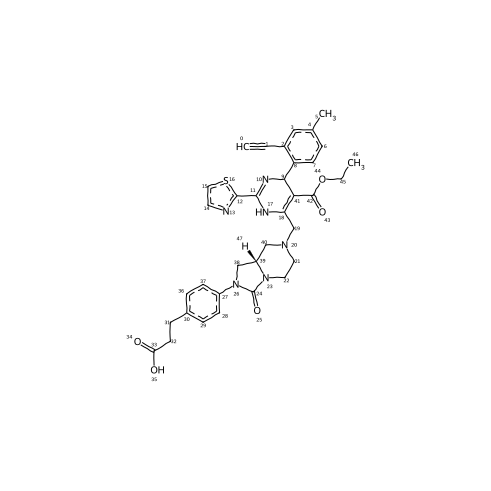 C#Cc1cc(C)ccc1C1N=C(c2nccs2)NC(CN2CCN3C(=O)N(c4ccc(CCC(=O)O)cc4)C[C@@H]3C2)=C1C(=O)OCC